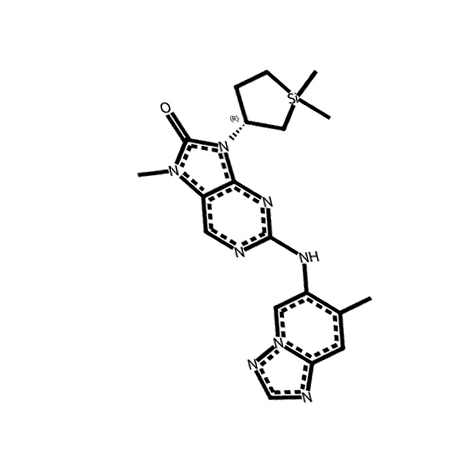 Cc1cc2ncnn2cc1Nc1ncc2c(n1)n([C@@H]1CC[Si](C)(C)C1)c(=O)n2C